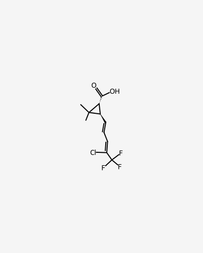 CC1(C)[C@H](C=CC=C(Cl)C(F)(F)F)[C@H]1C(=O)O